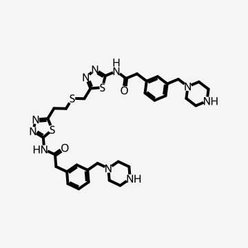 O=C(Cc1cccc(CN2CCNCC2)c1)Nc1nnc(CCSCc2nnc(NC(=O)Cc3cccc(CN4CCNCC4)c3)s2)s1